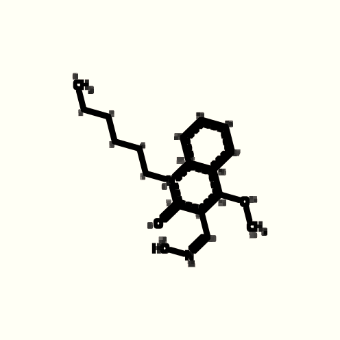 CCCCCCn1c(=O)c(/C=N\O)c(OC)c2ccccc21